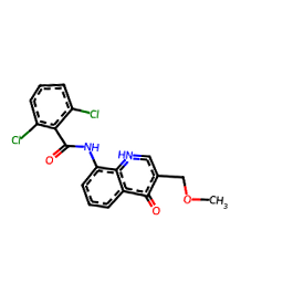 COCc1c[nH]c2c(NC(=O)c3c(Cl)cccc3Cl)cccc2c1=O